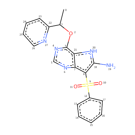 CC(Oc1ncnc2c(S(=O)(=O)c3ccccc3)c(N)[nH]c12)c1ccccn1